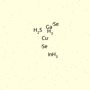 S.[Cu].[GaH3].[InH3].[Se].[Se]